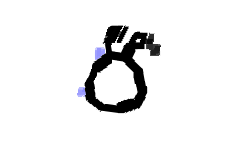 C=C1C=CC=CC/C=C\C=C/1S